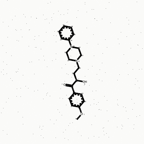 COc1ccc(C(=O)C(O)CCN2CCN(c3ccccc3)CC2)cc1